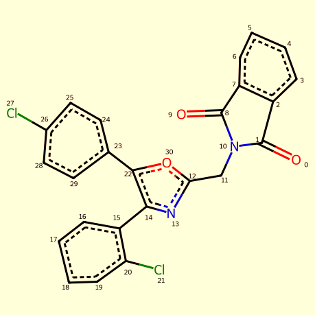 O=C1c2ccccc2C(=O)N1Cc1nc(-c2ccccc2Cl)c(-c2ccc(Cl)cc2)o1